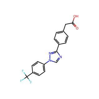 O=C(O)Cc1ccc(-c2ncn(-c3ccc(C(F)(F)F)cc3)n2)cc1